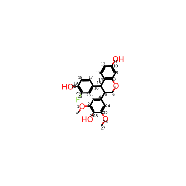 COc1cc(C2COc3cc(O)ccc3C2c2ccc(O)c(F)c2)cc(OC)c1O